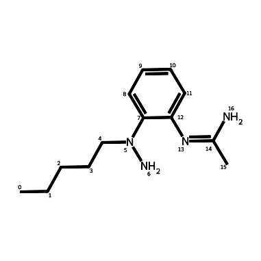 CCCCCN(N)c1ccccc1N=C(C)N